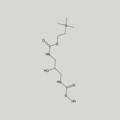 CCCOC(=O)NCC(O)CNC(=O)OCC[Si](C)(C)C